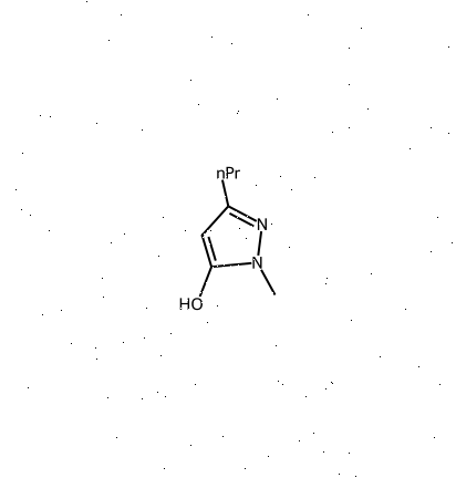 CCCc1cc(O)n(C)n1